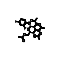 CC(=O)OCC1O[C@H](Oc2ccc(I)cc2F)C(OC(C)=O)C(OC(C)=O)[C@@H]1OC(C)=O